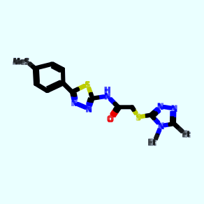 CCc1nnc(SCC(=O)Nc2nnc(-c3ccc(SC)cc3)s2)n1CC